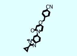 Cn1c(C2CC2)nc2ccc(-n3ccc(OCc4ccc(C#N)cc4)cc3=O)cc21